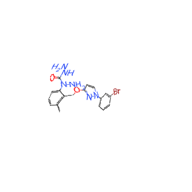 Cc1cccc(N(N)C(=O)NN)c1COc1ccn(-c2cccc(Br)c2)n1